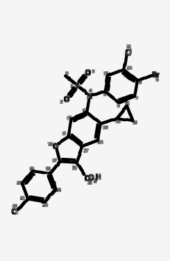 CS(=O)(=O)N(c1ccc(Br)c(Cl)c1)c1cc2oc(-c3ccc(Cl)cc3)c(C(=O)O)c2cc1C1CC1